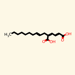 CCCCCCCC=CCC(=CC=CC(=O)O)C(=O)O